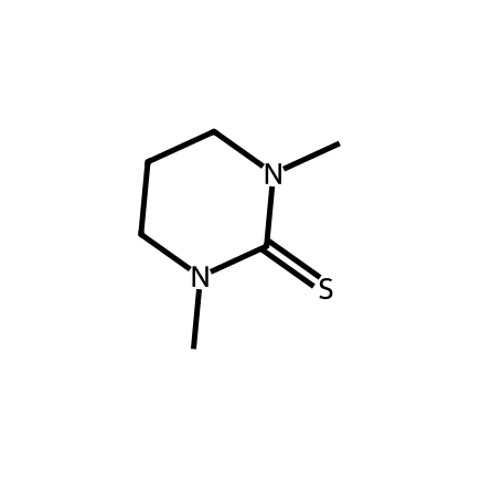 CN1CCCN(C)C1=S